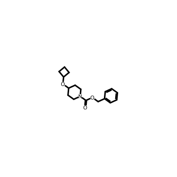 O=C(OCc1ccccc1)N1CCC(OC2CCC2)CC1